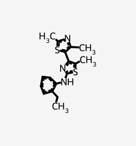 CCc1ccccc1Nc1nc(-c2sc(C)nc2C)c(C)s1